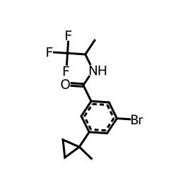 CC(NC(=O)c1cc(Br)cc(C2(C)CC2)c1)C(F)(F)F